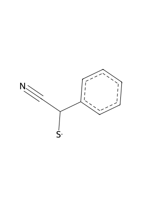 N#CC([S])c1ccccc1